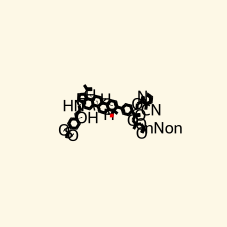 C=C(C)[C@@H]1CC[C@]2(NCC[C@]3(O)CC[C@@H](S(C)(=O)=O)CC3)CC[C@]3(C)[C@H](CC[C@@H]4[C@@]5(C)CC=C(C6=CC[C@@](COc7ncccc7C#N)(C(=O)OC(C)OC(=O)CCCCCCCCC)CC6)C(C)(C)[C@@H]5CC[C@]43C)[C@@H]12